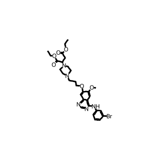 CCOC(=O)CC(C(=O)OCC)N1CCN(CCCOc2cc3ncnc(Nc4cccc(Br)c4)c3cc2OC)CC1